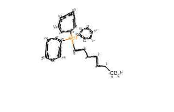 O=C(O)C/C=C/CCC[PH](c1ccccc1)(c1ccccc1)c1ccccc1